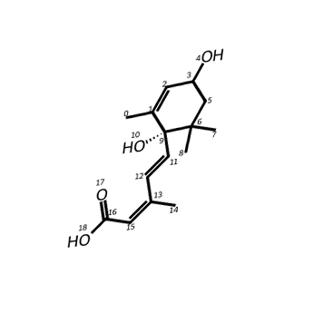 CC1=CC(O)CC(C)(C)[C@@]1(O)/C=C/C(C)=C\C(=O)O